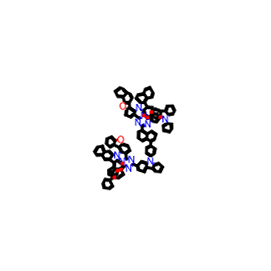 c1ccc(-c2ccc(-c3nc(-c4ccc5c6ccccc6n(-c6ccc(-c7cccc8c(-c9nc(-c%10ccc%11c%12ccccc%12n(-c%12ccccc%12)c%11c%10)nc(-c%10ccc%11oc%12c%13ccccc%13ccc%12c%11c%10-n%10c%11cc%12ccccc%12cc%11c%11c%12ccccc%12ccc%11%10)n9)cccc78)cc6)c5c4)nc(-c4ccc5oc6ccccc6c5c4-n4c5cc6ccccc6cc5c5c6ccccc6ccc54)n3)cc2)cc1